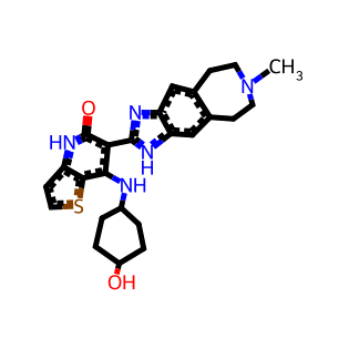 CN1CCc2cc3nc(-c4c(NC5CCC(O)CC5)c5sccc5[nH]c4=O)[nH]c3cc2CC1